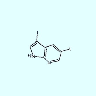 Ic1cnc2[nH]cc(I)c2c1